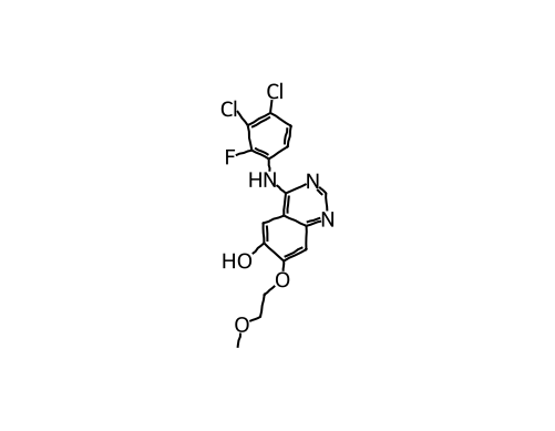 COCCOc1cc2ncnc(Nc3ccc(Cl)c(Cl)c3F)c2cc1O